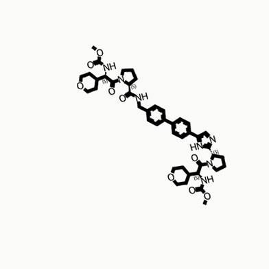 COC(=O)N[C@H](C(=O)N1CCC[C@H]1C(=O)NCc1ccc(-c2ccc(-c3cnc([C@@H]4CCCN4C(=O)[C@@H](NC(=O)OC)C4CCOCC4)[nH]3)cc2)cc1)C1CCOCC1